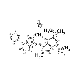 CC1=Cc2c(-c3ccccc3)cccc2[CH]1[Zr+2][CH]1C(C)=Cc2c(C(C)C)cc(C(C)C)cc21.[Cl-].[Cl-]